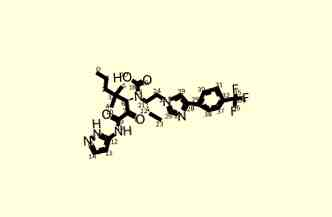 CCCC(C)(C)[C@@H](C(=O)C(=O)Nc1ccn[nH]1)N(C(=O)O)[C@@H](CC)Cn1cnc(-c2ccc(C(F)(F)F)cc2)c1